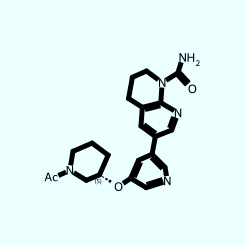 CC(=O)N1CCC[C@H](Oc2cncc(-c3cnc4c(c3)CCCN4C(N)=O)c2)C1